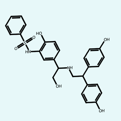 O=S(=O)(Nc1cc(C(CO)NCC(c2ccc(O)cc2)c2ccc(O)cc2)ccc1O)c1ccccc1